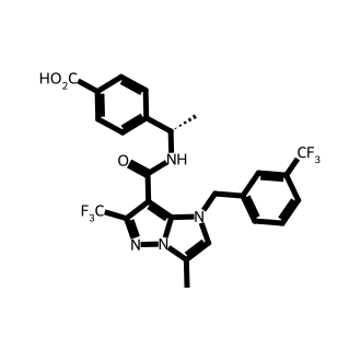 Cc1cn(Cc2cccc(C(F)(F)F)c2)c2c(C(=O)N[C@@H](C)c3ccc(C(=O)O)cc3)c(C(F)(F)F)nn12